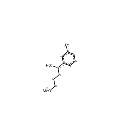 CCc1cccc(N(C)CCCOC)c1